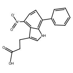 O=C(O)CCc1c[nH]c2c(-c3ccccc3)ccc([N+](=O)[O-])c12